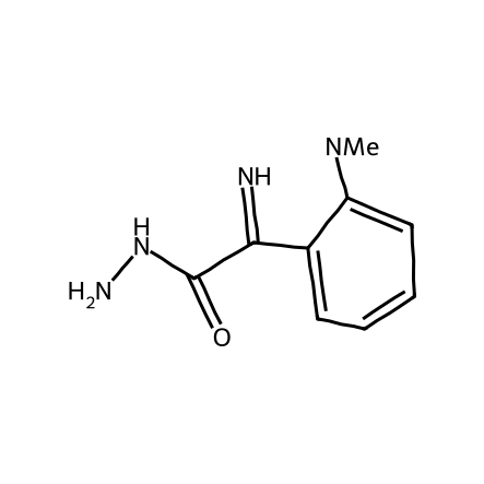 CNc1ccccc1C(=N)C(=O)NN